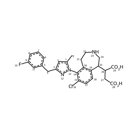 Cc1cc(Cc2cccc(F)c2)nn1-c1c(Cl)ccc2c1CCNCC2C(CC(=O)O)C(=O)O